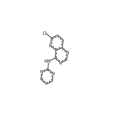 Clc1ccc2ncnc(Nc3ncccn3)c2n1